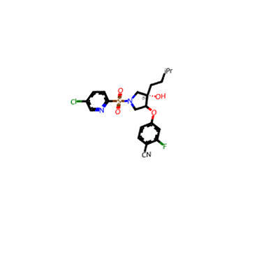 CC(C)CC[C@]1(O)CN(S(=O)(=O)c2ccc(Cl)cn2)CC1Oc1ccc(C#N)c(F)c1